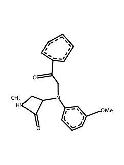 C.COc1cccc(N(CC(=O)c2ccccc2)C2CNC2=O)c1